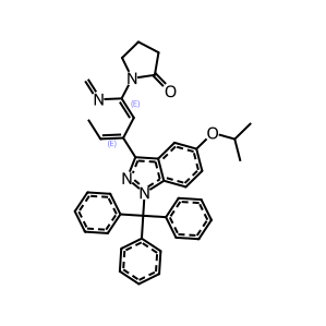 C=N/C(=C\C(=C/C)c1nn(C(c2ccccc2)(c2ccccc2)c2ccccc2)c2ccc(OC(C)C)cc12)N1CCCC1=O